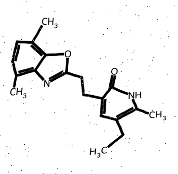 CCc1cc(CCc2nc3c(C)ccc(C)c3o2)c(=O)[nH]c1C